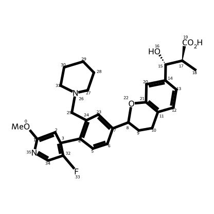 COc1cc(-c2ccc(C3CCc4ccc([C@H](O)[C@H](C)C(=O)O)cc4O3)cc2CN2CCCCC2)c(F)cn1